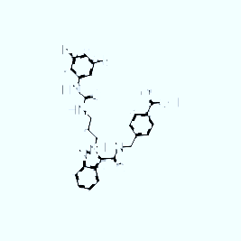 O=C(NCCCn1nc2ccccc2c1C(=O)NCc1ccc(C(=O)O)cc1)Nc1cc(F)cc(F)c1